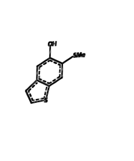 CSc1cc2sccc2cc1O